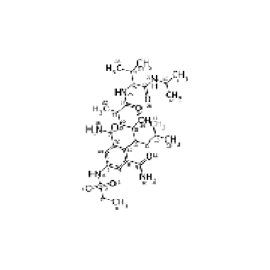 CCS(=O)(=O)Nc1cc(C(N)=O)c(C(CC(C)C)C(O)CC(C)C(=O)NC(C(=O)NC(C)C)C(C)C)c(C(N)=O)c1